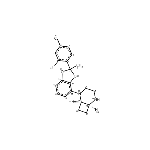 CC1(c2ccc(Cl)cc2F)Oc2cccc(N3CCN[C@H]4CC[C@H]43)c2O1